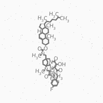 CC(C)CCC[C@@H](C)[C@H]1CCC2[C@@H]3CC=C4C[C@@H](OC(=O)N(C)CC56CCC(N(C)C(=O)C(=O)N(C)C)(CC5)c5nc(C(=O)NCc7ccc(F)cc7)c(O)c(=O)n5C6)CC[C@]4(C)C3CC[C@@]21C